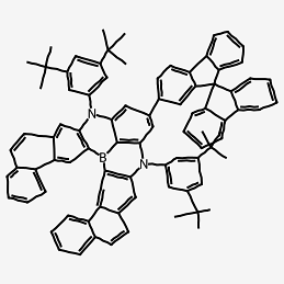 CC(C)(C)c1cc(N2c3cc4ccc5ccccc5c4cc3B3c4cc5c(ccc6ccccc65)cc4N(c4cc(C(C)(C)C)cc(C(C)(C)C)c4)c4cc(-c5ccc6c(c5)C5(c7ccccc7-c7ccccc75)c5ccccc5-6)cc2c43)cc(C(C)(C)C)c1